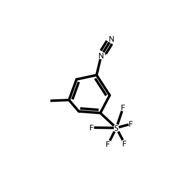 Cc1cc([N+]#N)cc(S(F)(F)(F)(F)F)c1